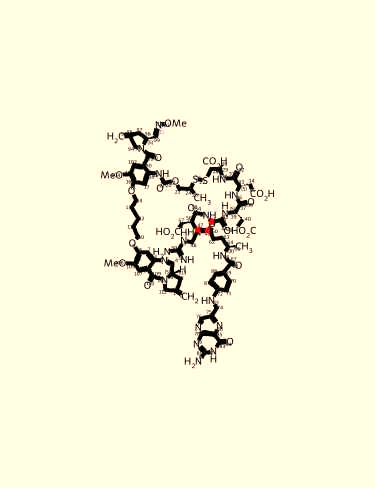 C=C1C[C@H]2C=Nc3cc(OCCCCCOc4cc(NC(=O)OCC(C)SSC[C@H](NC(=O)[C@H](CC(=O)O)NC(=O)[C@H](CC(=O)O)NC(=O)[C@H](CCCNC(=N)N)NC(=O)[C@H](CC(=O)O)NC(=O)CC[C@@H](C)NC(=O)c5ccc(NCc6cnc7nc(N)[nH]c(=O)c7n6)cc5)C(=O)O)c(C(=O)N5CC(=C)C[C@H]5/C=N/OC)cc4OC)c(OC)cc3C(=O)N2C1